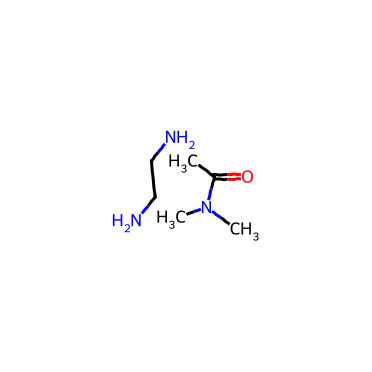 CC(=O)N(C)C.NCCN